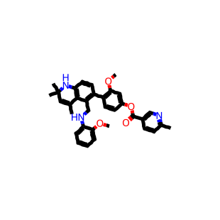 COc1ccccc1NCc1c(-c2ccc(OC(=O)c3ccc(C)nc3)cc2OC)ccc2c1C(C)=CC(C)(C)N2